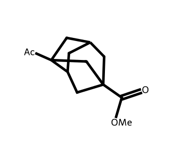 COC(=O)C12CC3CC(C1)C(C(C)=O)(C3)C2